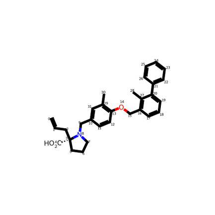 C=CC[C@]1(C(=O)O)CCCN1Cc1ccc(OCc2cccc(-c3ccccc3)c2C)c(C)c1